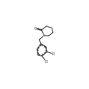 O=C1CSCCN1Cc1ccc(Cl)c(Cl)c1